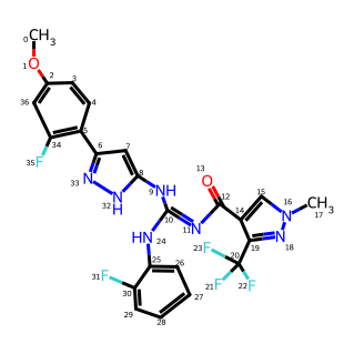 COc1ccc(-c2cc(N/C(=N\C(=O)c3cn(C)nc3C(F)(F)F)Nc3ccccc3F)[nH]n2)c(F)c1